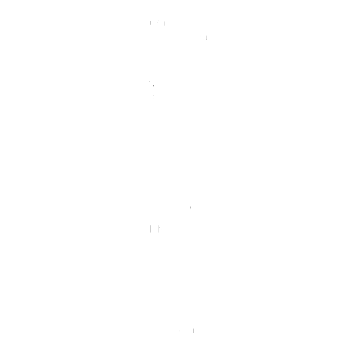 CC(C)(C)CCCCNC(=O)CCCCCON=C(CC(C)(C)C)CC(C)(C)C